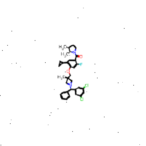 C[C@@H]1[C@@H](C)CCN1C(=O)c1cc(C2CC2)c(OCC2(C)CN([C@H](c3ccccc3)c3cc(Cl)cc(Cl)c3)C2)cc1F